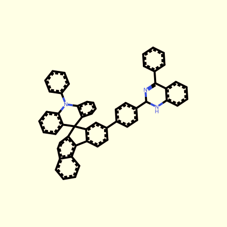 c1ccc(C2=NC(c3ccc(-c4ccc5c(c4)C4(c6ccccc6N(c6ccccc6)c6ccccc64)c4ccc6ccccc6c4-5)cc3)Nc3ccccc32)cc1